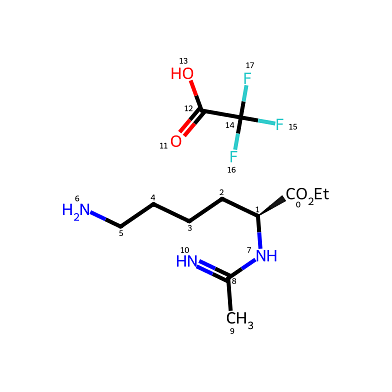 CCOC(=O)[C@H](CCCCN)NC(C)=N.O=C(O)C(F)(F)F